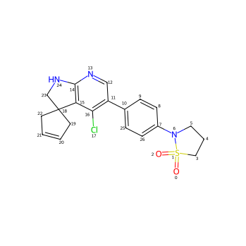 O=S1(=O)CCCN1c1ccc(-c2cnc3c(c2Cl)C2(CC=CC2)CN3)cc1